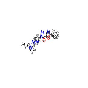 CN1CCC[C@@H]1c1cn2cc(NC(=O)c3cnc(-c4ccccc4)o3)ccc2n1